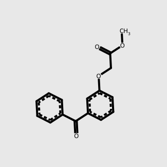 COC(=O)COc1cccc(C(=O)c2ccccc2)c1